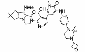 CNc1c2c(n3c1C(=O)N(c1nccc(-c4cc(Nc5ccc(N6CCN(C7COC7)C[C@@H]6C)cn5)c(=O)n(C)c4)c1CO)CC3)CC(C)(C)C2